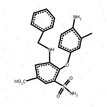 Cc1cc(Oc2c(NCc3ccccc3)cc(C(=O)O)cc2S(N)(=O)=O)ccc1N